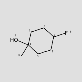 CC1(O)CCC(F)CC1